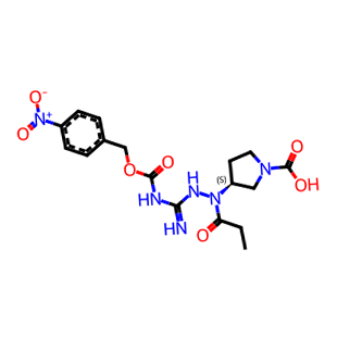 CCC(=O)N(NC(=N)NC(=O)OCc1ccc([N+](=O)[O-])cc1)[C@H]1CCN(C(=O)O)C1